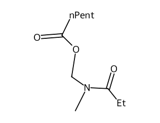 CCCCCC(=O)OCN(C)C(=O)CC